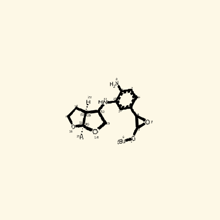 CC(C)(C)OC1OC1c1ccc(N)c(NC2CO[C@H]3OCC[C@@H]23)c1